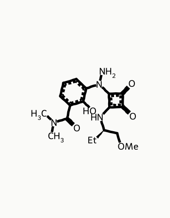 CC[C@H](COC)Nc1c(N(N)c2cccc(C(=O)N(C)C)c2O)c(=O)c1=O